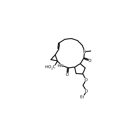 CCOCOC1CC2C(=O)NC3(C(=O)O)CC3/C=C/CCCCN(C)C(=O)C2C1